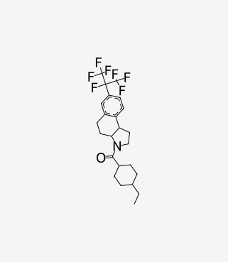 CCC1CCC(C(=O)N2CCC3c4ccc(C(F)(C(F)(F)F)C(F)(F)F)cc4CCC32)CC1